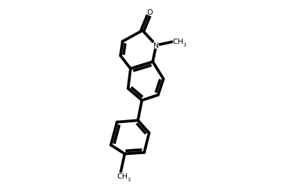 Cc1ccc(-c2ccc3c(ccc(=O)n3C)c2)cc1